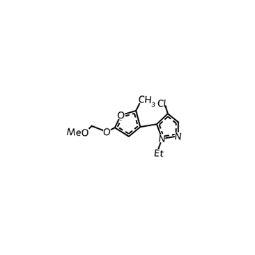 CCn1ncc(Cl)c1-c1cc(OCOC)oc1C